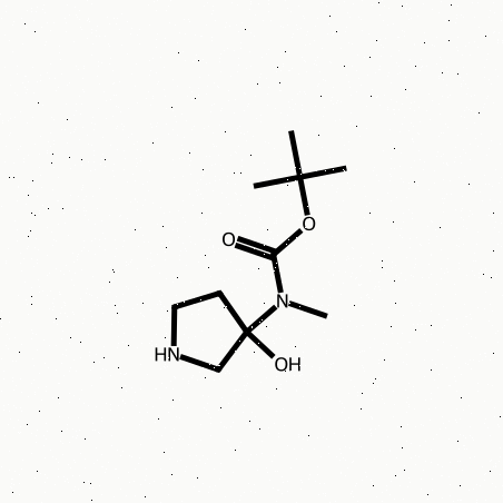 CN(C(=O)OC(C)(C)C)C1(O)CCNC1